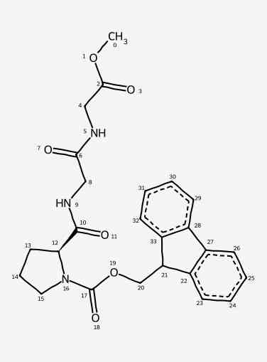 COC(=O)CNC(=O)CNC(=O)[C@@H]1CCCN1C(=O)OCC1c2ccccc2-c2ccccc21